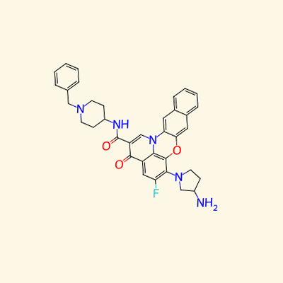 NC1CCN(c2c(F)cc3c(=O)c(C(=O)NC4CCN(Cc5ccccc5)CC4)cn4c3c2Oc2cc3ccccc3cc2-4)C1